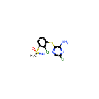 CS(=N)(=O)c1cccc(Sc2ncc(Cl)nc2N)c1Cl